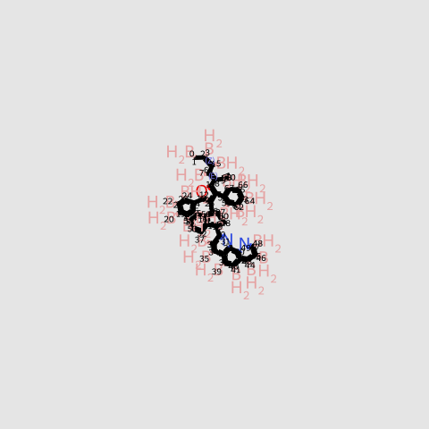 BC/C(B)=C(B)\C(B)=C(/C#C)c1oc(-c2c(B)c(B)c(B)c(B)c2B)c(-c2ccc(-c3nc4c(c(B)c3B)c(B)c(B)c3c(B)c(B)c(B)nc34)c3ccccc23)c1-c1c(B)c(B)c(B)c(B)c1B